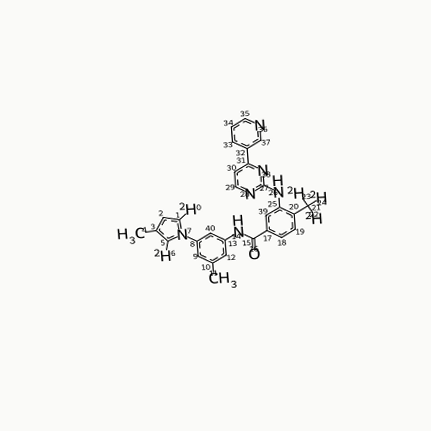 [2H]c1cc(C)c([2H])n1-c1cc(C)cc(NC(=O)c2ccc(C([2H])([2H])[2H])c(Nc3nccc(-c4cccnc4)n3)c2)c1